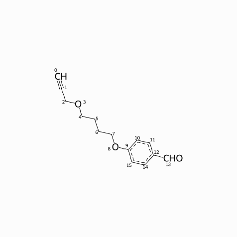 C#CCOCCCCOc1ccc(C=O)cc1